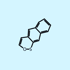 C1=Cc2cc3ccccc3cc2SO1